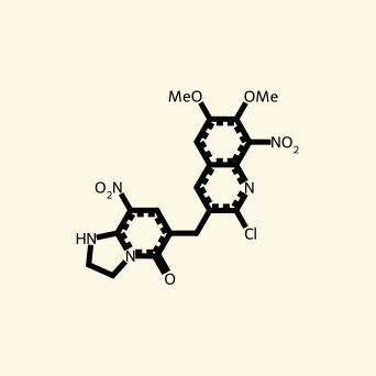 COc1cc2cc(Cc3cc([N+](=O)[O-])c4n(c3=O)CCN4)c(Cl)nc2c([N+](=O)[O-])c1OC